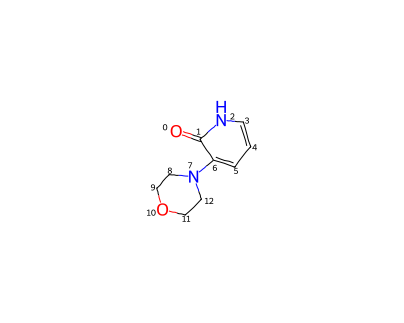 O=c1[nH]cccc1N1CCOCC1